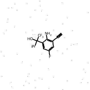 C#Cc1cc(F)cc(C(O)(C(C)C)C(F)(F)F)c1N